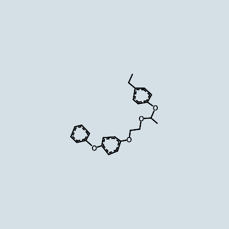 CCc1ccc(OC(C)OCCOc2ccc(Oc3ccccc3)cc2)cc1